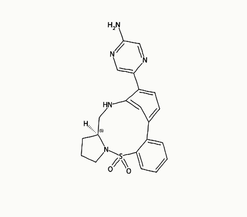 Nc1cnc(-c2ccc3cc2NC[C@@H]2CCCN2S(=O)(=O)c2ccccc2-3)cn1